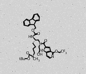 CN(CCCC[C@@H](CN(CCO)C(=O)c1cc2c(OCC(F)(F)F)nccc2[nH]1)NC(=O)OCC1c2ccccc2-c2ccccc21)C(=O)OC(C)(C)C